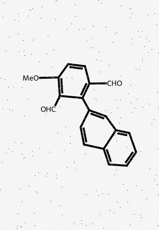 COc1ccc(C=O)c(-c2ccc3ccccc3c2)c1C=O